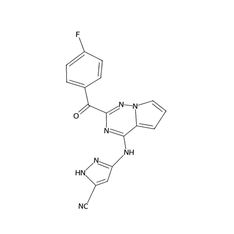 N#Cc1cc(Nc2nc(C(=O)c3ccc(F)cc3)nn3cccc23)n[nH]1